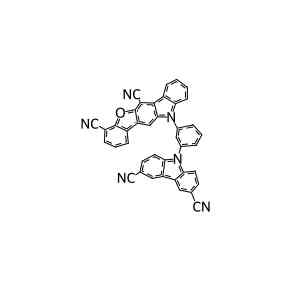 N#Cc1ccc2c(c1)c1cc(C#N)ccc1n2-c1cccc(-n2c3ccccc3c3c(C#N)c4oc5c(C#N)cccc5c4cc32)c1